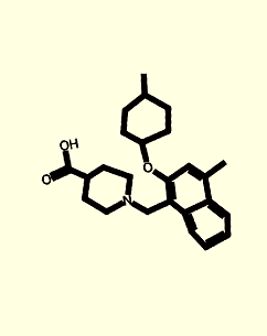 Cc1cc(OC2CCC(C)CC2)c(CN2CCC(C(=O)O)CC2)c2ccccc12